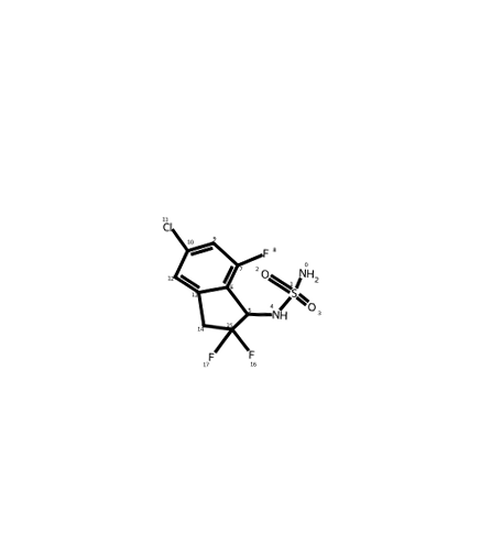 NS(=O)(=O)NC1c2c(F)cc(Cl)cc2CC1(F)F